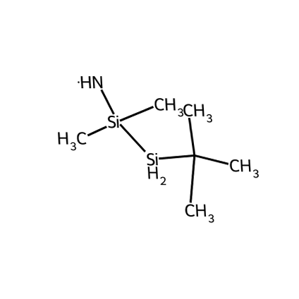 CC(C)(C)[SiH2][Si](C)(C)[NH]